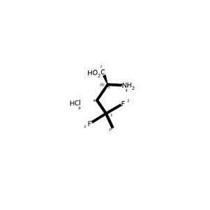 CC(F)(F)C[C@H](N)C(=O)O.Cl